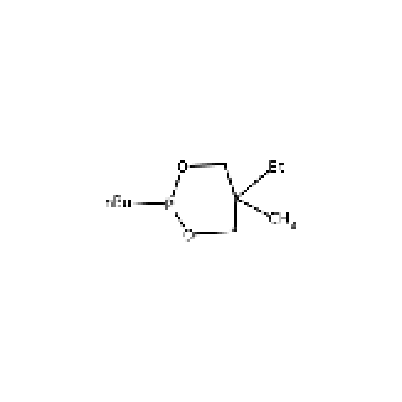 CCCCP1OCC(C)(CC)CO1